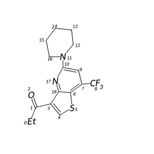 CCC(=O)c1csc2c(C(F)(F)F)cc(N3CC[CH]CC3)nc12